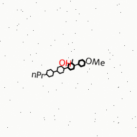 CCCC1CCC(C2CCC(c3ccc(-c4ccc(OC)cc4)c(C)c3)C(O)C2)CC1